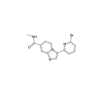 CNC(=O)c1ccn2c(-c3cccc(Br)n3)cnc2c1